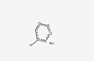 Clc1coooo1.[KH]